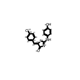 O=C1N=C(Nc2ccc(O)cc2)SC1=Cc1ccc(Cl)cc1